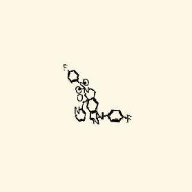 O=C(c1ccccn1)[C@]12Cc3cnn(-c4ccc(F)cc4)c3C=C1CCN(S(=O)(=O)c1ccc(F)cc1)C2